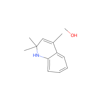 CC1=CC(C)(C)Nc2ccccc21.CO